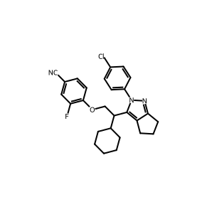 N#Cc1ccc(OCC(c2c3c(nn2-c2ccc(Cl)cc2)CCC3)C2CCCCC2)c(F)c1